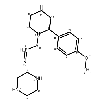 C1CNCCN1.COc1ccc(C2CNCCN2S[PH2]=S)cc1